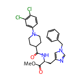 COC(=O)[C@H](Cc1cn(Cc2ccccc2)cn1)NC(=O)C1CCN(c2ccc(Cl)c(Cl)c2)CC1